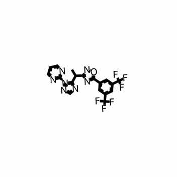 CC(c1noc(-c2cc(C(F)(F)F)cc(C(F)(F)F)c2)n1)c1ncnn1-c1ncccn1